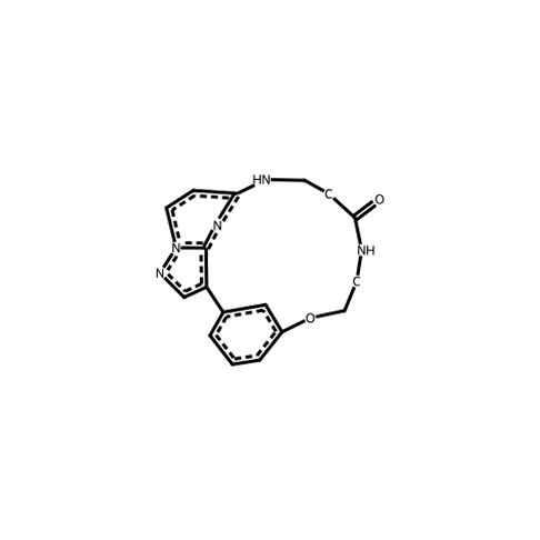 O=C1CCNc2ccn3ncc(c3n2)-c2cccc(c2)OCCN1